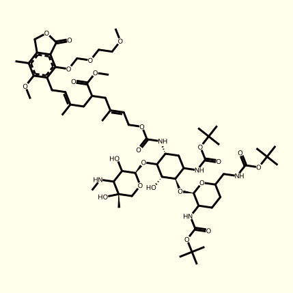 CNC1C(O)[C@@H](OC2[C@@H](O)[C@H](O[C@H]3OC(CNC(=O)OC(C)(C)C)CCC3NC(=O)OC(C)(C)C)C(NC(=O)OC(C)(C)C)C[C@H]2NC(=O)OC/C=C(\C)CC(C/C(C)=C/Cc2c(OC)c(C)c3c(c2OCOCCOC)C(=O)OC3)C(=O)OC)OC[C@]1(C)O